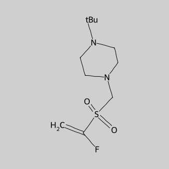 C=C(F)S(=O)(=O)CN1CCN(C(C)(C)C)CC1